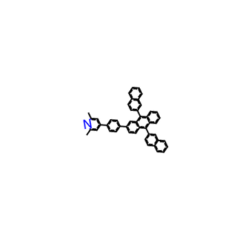 Cc1cc(-c2ccc(-c3ccc4c(-c5ccc6ccccc6c5)c5ccccc5c(-c5ccc6ccccc6c5)c4c3)cc2)cc(C)n1